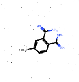 N=C(N)c1ccc(C(=O)O)cc1C(=N)N